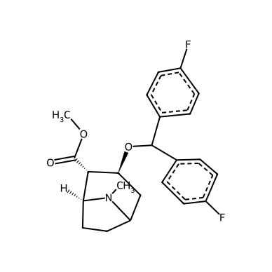 COC(=O)[C@@H]1[C@@H](OC(c2ccc(F)cc2)c2ccc(F)cc2)CC2CC[C@@H]1N2C